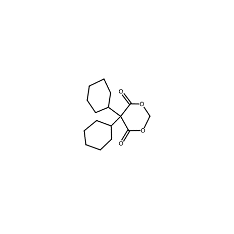 O=C1OCOC(=O)C1(C1CCCCC1)C1CCCCC1